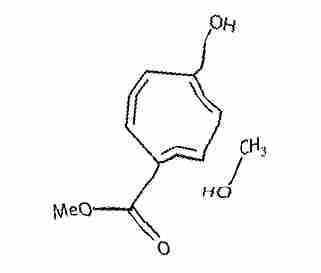 CO.COC(=O)c1ccc(O)cc1